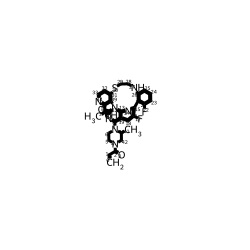 C=CC(=O)N1CCN(c2nc(=O)n3c4nc(c(F)cc24)-c2c(F)cccc2NCCSc2ccnc(C(C)C)c2-3)C(C)C1